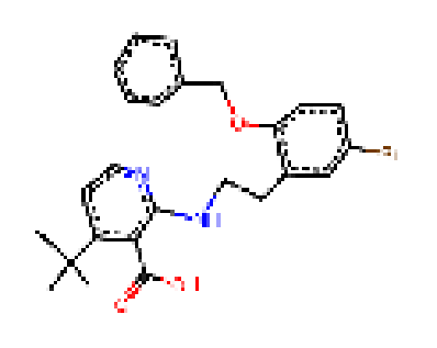 CC(C)(C)c1ccnc(NCCc2cc(Br)ccc2OCc2ccccc2)c1C(=O)O